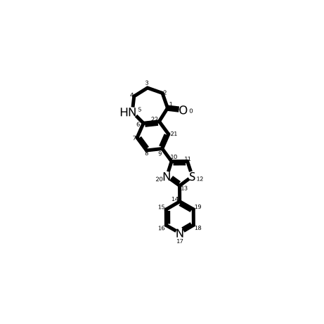 O=C1CCCNc2ccc(-c3csc(-c4ccncc4)n3)cc21